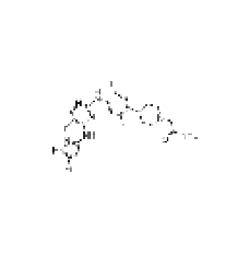 CCc1cc(Nc2nc(Nc3cc(C)c(C4CCN(CC(N)=O)CC4)cc3F)ncc2I)n[nH]1